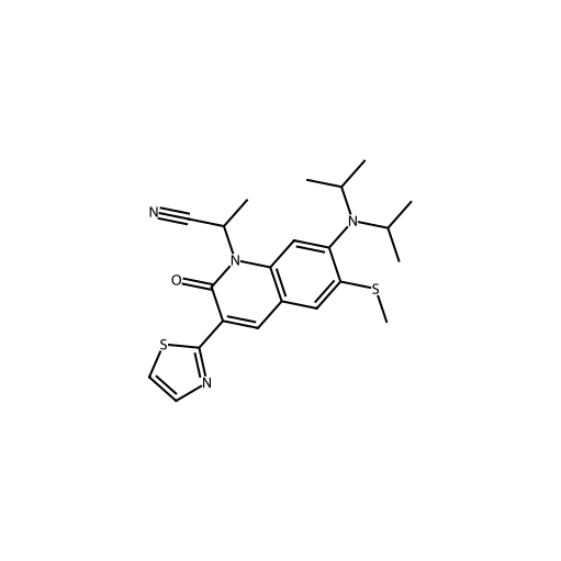 CSc1cc2cc(-c3nccs3)c(=O)n(C(C)C#N)c2cc1N(C(C)C)C(C)C